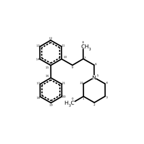 CC1CCCN(CC(C)Cc2ccccc2-c2ccccc2)C1